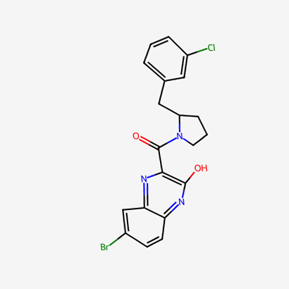 O=C(c1nc2cc(Br)ccc2nc1O)N1CCCC1Cc1cccc(Cl)c1